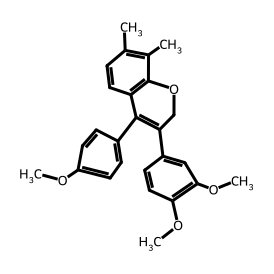 COc1ccc(C2=C(c3ccc(OC)c(OC)c3)COc3c2ccc(C)c3C)cc1